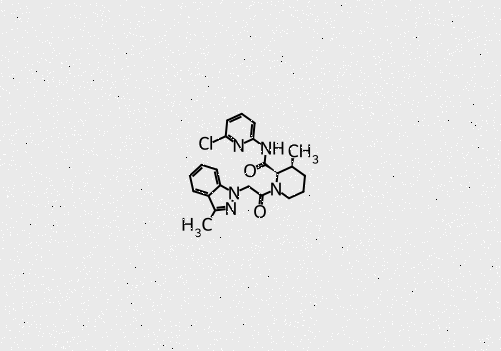 Cc1nn(CC(=O)N2CCC[C@H](C)[C@@H]2C(=O)Nc2cccc(Cl)n2)c2ccccc12